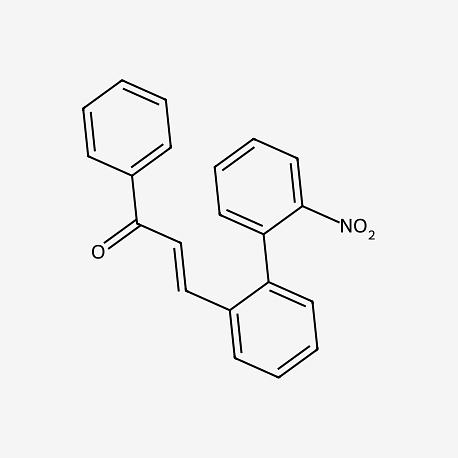 O=C(C=Cc1ccccc1-c1ccccc1[N+](=O)[O-])c1ccccc1